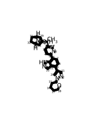 CN(c1ccc(-c2ccc(-c3cnn(C4CCCCO4)c3)c3cn[nH]c23)nn1)[C@@H]1C[C@H]2CC[C@@H](C1)N2C(=O)O